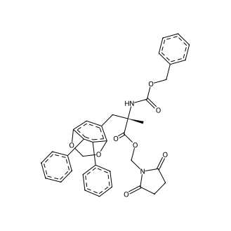 C[C@@](Cc1cc2c(-c3ccccc3)c(-c3ccccc3)c1OCO2)(NC(=O)OCc1ccccc1)C(=O)OCN1C(=O)CCC1=O